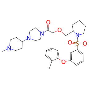 Cc1ccccc1Oc1cccc(S(=O)(=O)N2CCCCC2COCC(=O)N2CCN(C3CCN(C)CC3)CC2)c1